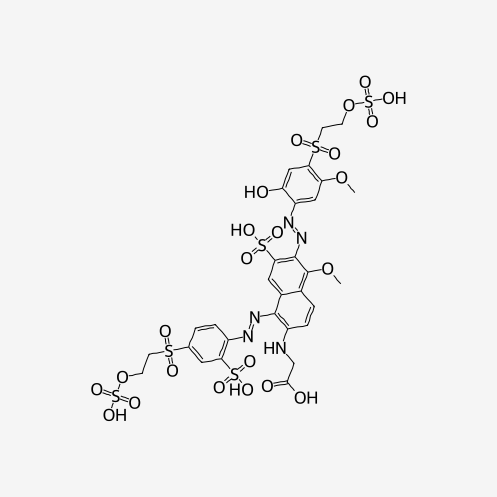 COc1cc(/N=N/c2c(S(=O)(=O)O)cc3c(/N=N/c4ccc(S(=O)(=O)CCOS(=O)(=O)O)cc4S(=O)(=O)O)c(NCC(=O)O)ccc3c2OC)c(O)cc1S(=O)(=O)CCOS(=O)(=O)O